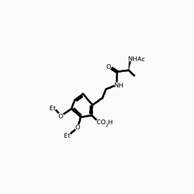 CCOc1ccc(CCNC(=O)[C@H](C)NC(C)=O)c(C(=O)O)c1OCC